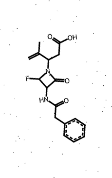 C=C(C)C(CC(=O)O)N1C(=O)C(NC(=O)Cc2ccccc2)C1F